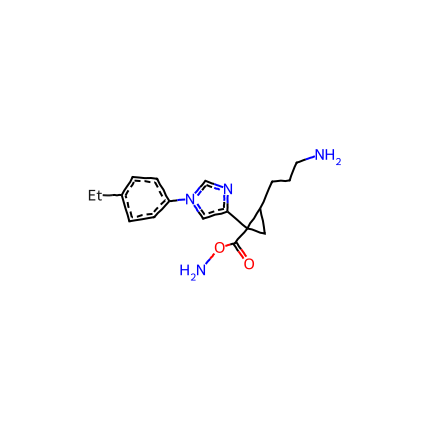 CCc1ccc(-n2cnc(C3(C(=O)ON)CC3CCCN)c2)cc1